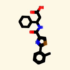 Cc1ccccc1-c1nc(C(=O)NC(CC(=O)O)C2CCCCC2)cs1